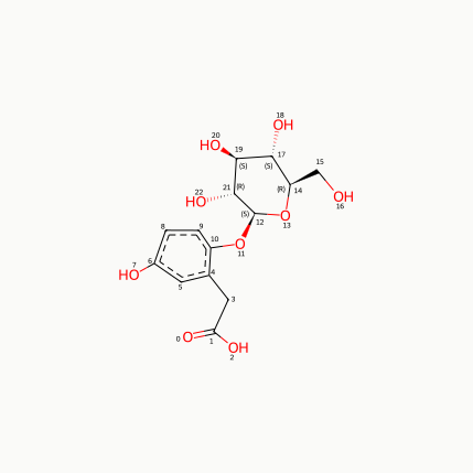 O=C(O)Cc1cc(O)ccc1O[C@@H]1O[C@H](CO)[C@@H](O)[C@H](O)[C@H]1O